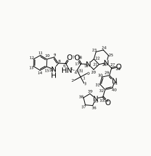 CC(C)(C)[C@H](NC(=O)c1cc2ccccc2[nH]1)C(=O)N1CC2C1CCCN2C(=O)c1ccc(C(=O)N2CCCC2)cn1